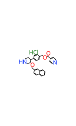 Cl.O=C(OCc1ccc(C2CCNCC2OCc2ccc3ccccc3c2)cc1)c1ccncc1